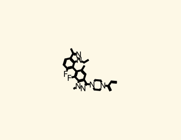 C=CC(=C)N1CCN(c2nn(C)c3c(F)c(-c4c(F)ccc5c(C)nn(CC)c45)c(C)cc23)CC1